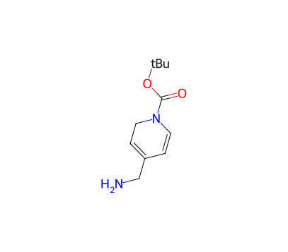 CC(C)(C)OC(=O)N1C=CC(CN)=CC1